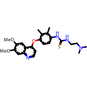 COc1cc2nccc(Oc3ccc(NC(=S)NCCN(C)C)c(C)c3C)c2cc1OC